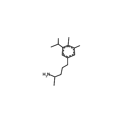 Cc1cc(CCCC(C)N)cc(C(C)C)c1C